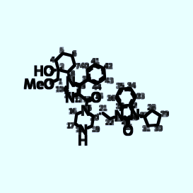 COC[C@]1(O)CCCC[C@H]1n1cnc(C(=O)N2CCNC[C@H]2CCn2c(=O)n(C3CCCC3)c3ccccc32)c1-c1ccccc1